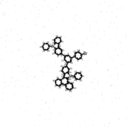 Brc1ccc(-c2cc(-c3ccc4c(c3)c3ccccc3n4-c3ccccc3)cc(-c3ccc4c5c6ccccc6c6ccccc6c5n(-c5ccccc5)c4c3)c2)cc1